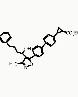 CCOC(=O)C1CC1c1ccc(-c2ccc(-c3onc(C)c3C(O)CCCc3ccccc3)cc2)cc1